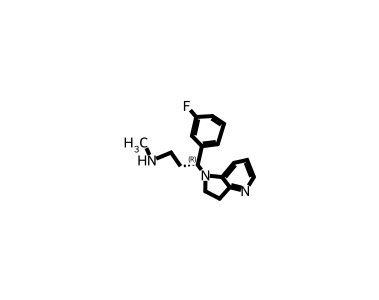 CNCC[C@H](c1cccc(F)c1)N1CCc2ncccc21